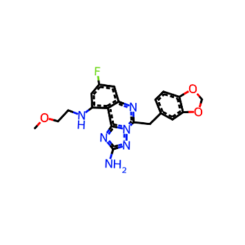 COCCNc1cc(F)cc2nc(Cc3ccc4c(c3)OCO4)n3nc(N)nc3c12